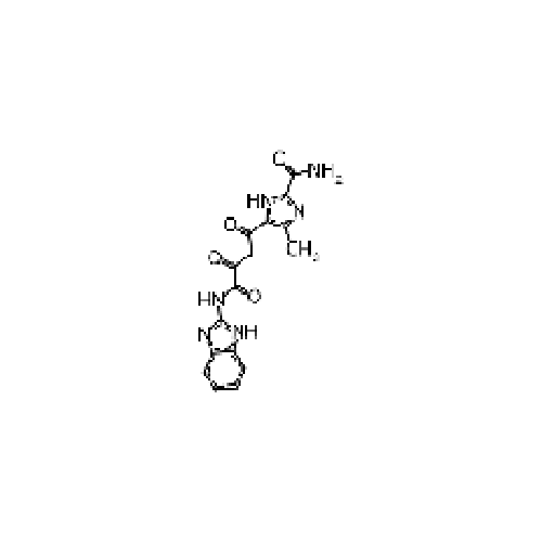 Cc1nc(C(N)=O)[nH]c1C(=O)CC(=O)C(=O)Nc1nc2ccccc2[nH]1